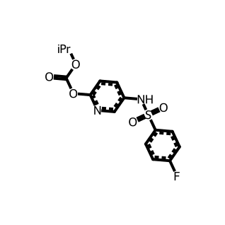 CC(C)OC(=O)Oc1ccc(NS(=O)(=O)c2ccc(F)cc2)cn1